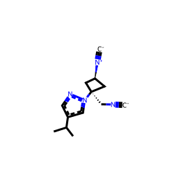 [C-]#[N+]C[C@]1(n2cc(C(C)C)cn2)C[C@@H]([N+]#[C-])C1